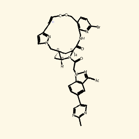 CC(=O)c1nn(CC(=O)N2[C@H]3C[C@]4(C[C@@H]24)Cn2ccc(n2)/C=C/COCc2ccc(Br)nc2NC3=O)c2ccc(-c3cnc(C)nc3)cc12